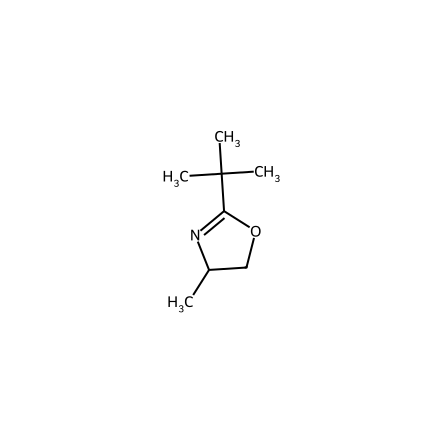 CC1COC(C(C)(C)C)=N1